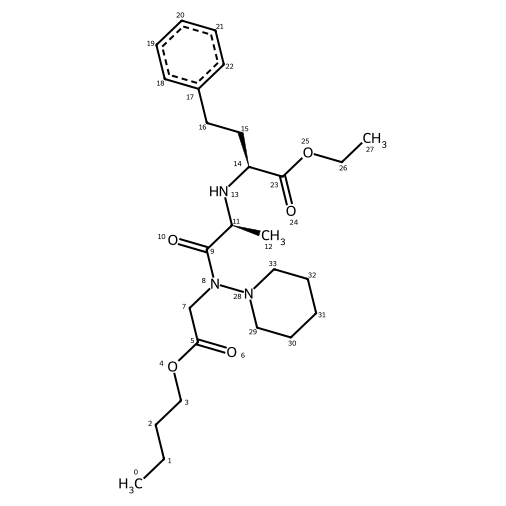 CCCCOC(=O)CN(C(=O)[C@H](C)N[C@@H](CCc1ccccc1)C(=O)OCC)N1CCCCC1